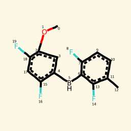 COc1cc(Bc2c(F)ccc(C)c2F)c(F)cc1F